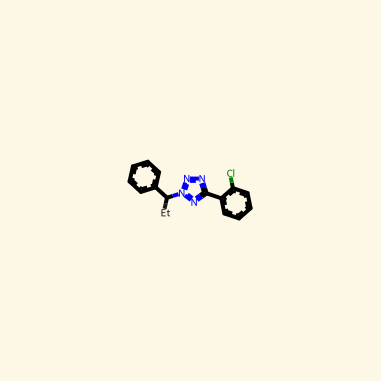 CCC(c1ccccc1)n1nnc(-c2ccccc2Cl)n1